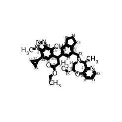 CCOC(=O)CC(c1cc2c(c(CN3C[C@@H](CC)Oc4cccnc4[C@@H]3C)c1)CCC2)c1cc(C2CC2)c2c(nnn2C)c1C